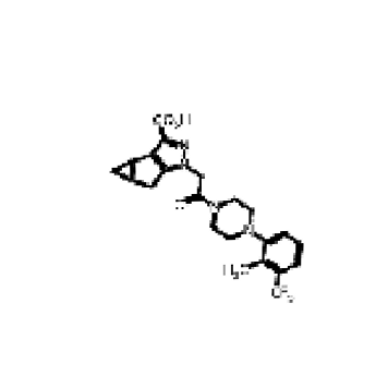 Cc1c(N2CCN(C(=O)Cn3nc(C(=O)O)c4c3CC3CC43)CC2)cccc1C(F)(F)F